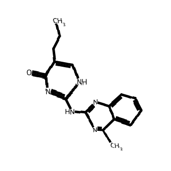 CCCc1c[nH]c(Nc2nc(C)c3ccccc3n2)nc1=O